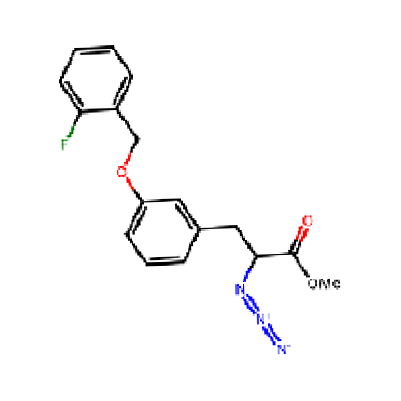 COC(=O)C(Cc1cccc(OCc2ccccc2F)c1)N=[N+]=[N-]